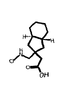 O=C(O)CC1(CNCl)C[C@H]2CCCC[C@@H]2C1